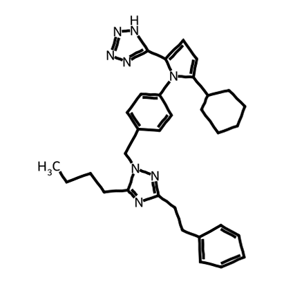 CCCCc1nc(CCc2ccccc2)nn1Cc1ccc(-n2c(-c3nnn[nH]3)ccc2C2CCCCC2)cc1